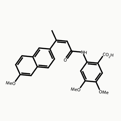 COc1ccc2cc(/C(C)=C\C(=O)Nc3cc(OC)c(OC)cc3C(=O)O)ccc2c1